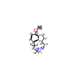 CC(C)(C)CC(C)(C)c1ccc([O][Ni])cc1.CCCCN